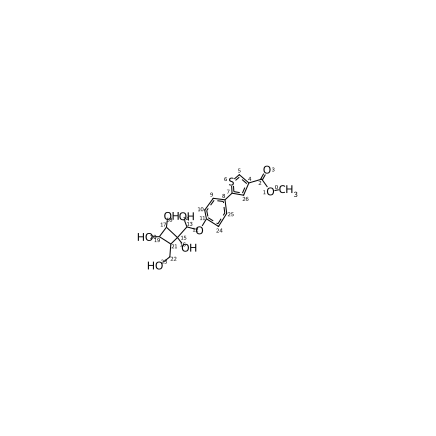 COC(=O)c1csc(-c2ccc(OC(O)C3(O)C(O)C(O)C3CO)cc2)c1